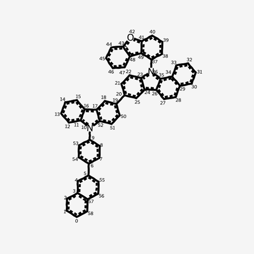 c1ccc2cc(-c3ccc(-n4c5ccccc5c5cc(-c6ccc7c(c6)c6ccc8ccccc8c6n7-c6cccc7oc8ccccc8c67)ccc54)cc3)ccc2c1